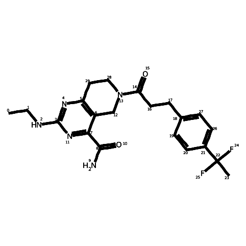 CCNc1nc2c(c(C(N)=O)n1)CN(C(=O)CCc1ccc(C(C)(F)F)cc1)CC2